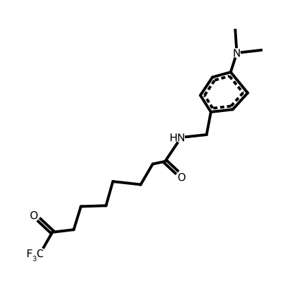 CN(C)c1ccc(CNC(=O)CCCCCCC(=O)C(F)(F)F)cc1